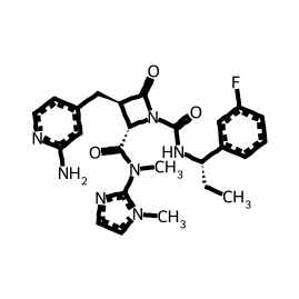 CC[C@H](NC(=O)N1C(=O)[C@H](Cc2ccnc(N)c2)[C@H]1C(=O)N(C)c1nccn1C)c1cccc(F)c1